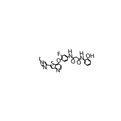 CCn1cnc(-c2cc3nccc(Oc4ccc(NC(=O)CC(=O)Nc5ccccc5O)cc4F)c3s2)c1